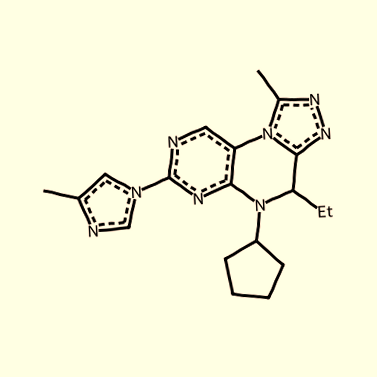 CCC1c2nnc(C)n2-c2cnc(-n3cnc(C)c3)nc2N1C1CCCC1